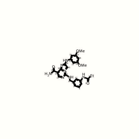 CCC(=O)Nc1cccc(CNc2ncc(C(N)=O)c3nc(Nc4cc(OC)cc(OC)c4)cn23)c1